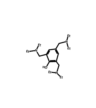 CCN(CC)Cc1cc(CN(CC)CC)c(O)c(CN(CC)CC)c1